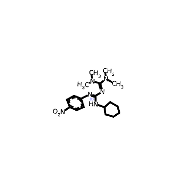 CN(C)C(=N/C(=N/c1ccc([N+](=O)[O-])cc1)NC1CCCCC1)N(C)C